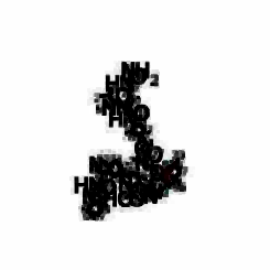 C=C(C)[C@H](NC)C(=O)N[C@@H](CCCNC(N)=O)C(=O)Nc1ccc(COC(=O)N(C)CCOC23CC4(C)CC(C)(CC(Cn5ncc(-c6ccc(-c7ccc8cncc(C(=O)Nc9nc%10ccccc%10s9)c8c7)nc6C(=O)O)c5C)(C4)C2)C3)cc1